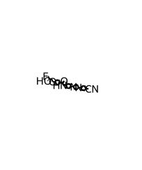 N#Cc1ccc(N2CCN(c3ccc(NC(=O)c4ccc(OC[C@@H](O)CF)cc4)cc3)CC2)cc1